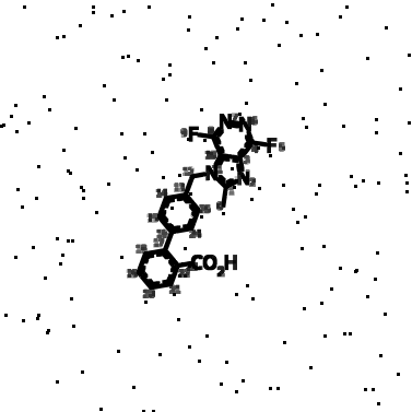 Cc1nc2c(F)nnc(F)c2n1Cc1ccc(-c2ccccc2C(=O)O)cc1